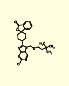 C[Si](C)(C)CCOCn1c(C2CCC3(CC2)OC(=O)c2ccccc23)nc2nc(Cl)ncc21